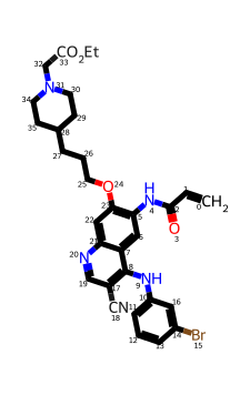 C=CC(=O)Nc1cc2c(Nc3cccc(Br)c3)c(C#N)cnc2cc1OCCCC1CCN(CC(=O)OCC)CC1